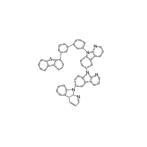 C1=CC2c3ccccc3N(c3ccc4c(c3)c3cccnc3n4-c3ccc4c(c3)c3cccnc3n4-c3cccc(-c4cccc(-c5cccc6c5sc5ccccc56)c4)c3)C2N=C1